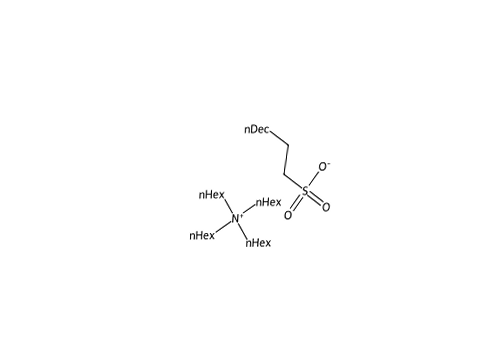 CCCCCCCCCCCCS(=O)(=O)[O-].CCCCCC[N+](CCCCCC)(CCCCCC)CCCCCC